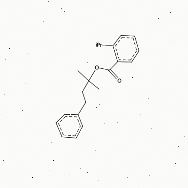 CC(C)c1ccccc1C(=O)OC(C)(C)CCc1ccccc1